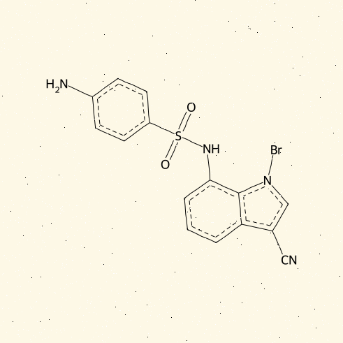 N#Cc1cn(Br)c2c(NS(=O)(=O)c3ccc(N)cc3)cccc12